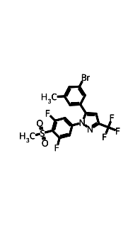 Cc1cc(Br)cc(-c2cc(C(F)(F)F)nn2-c2cc(F)c(S(C)(=O)=O)c(F)c2)c1